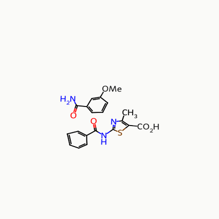 COc1cccc(C(N)=O)c1.Cc1nc(NC(=O)c2ccccc2)sc1C(=O)O